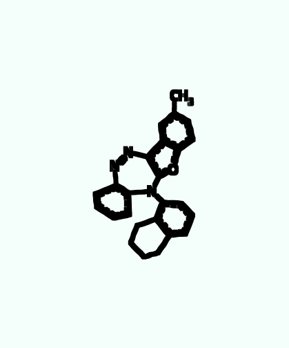 Cc1ccc2oc3c(c2c1)N=Nc1ccccc1N3c1cccc2c1CCCC2